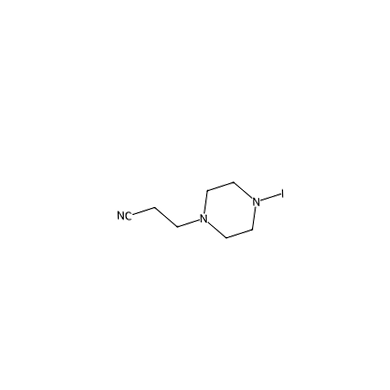 N#CCCN1CCN(I)CC1